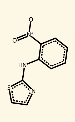 O=[N+]([O-])c1ccccc1Nc1nccs1